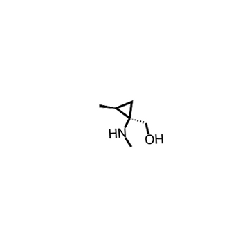 CN[C@]1(CO)C[C@@H]1C